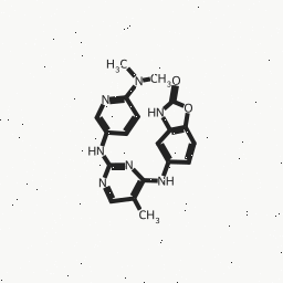 Cc1cnc(Nc2ccc(N(C)C)nc2)nc1Nc1ccc2oc(=O)[nH]c2c1